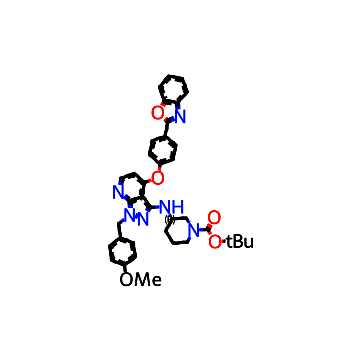 COc1ccc(Cn2nc(N[C@@H]3CCCN(C(=O)OC(C)(C)C)C3)c3c(Oc4ccc(-c5nc6ccccc6o5)cc4)ccnc32)cc1